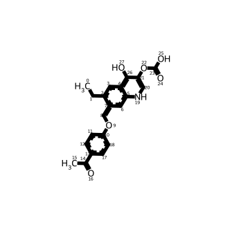 CCc1cc2c(cc1=COc1ccc(C(C)=O)cc1)NC=C(OC(=O)O)C=2O